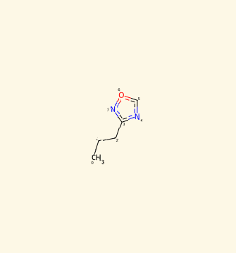 CCCc1ncon1